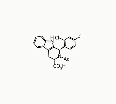 CC(=O)N1[C@H](c2ccc(Cl)cc2Cl)c2[nH]c3ccccc3c2C[C@H]1C(=O)O